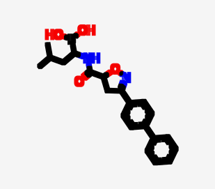 CC(C)CC(NC(=O)C1CC(c2ccc(-c3ccccc3)cc2)=NO1)B(O)O